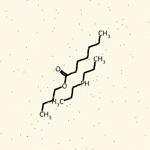 CCCCCCC(=O)OCCCC.CCCPCCC